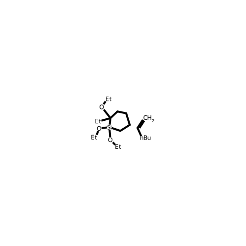 C=CCCCC.CCOC1(CC)CCCC[Si]1(OCC)OCC